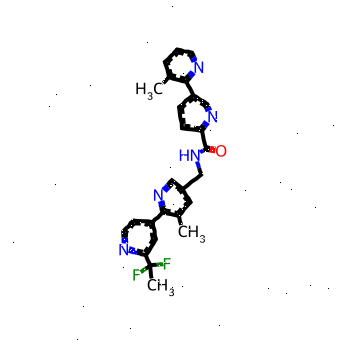 Cc1cccnc1-c1ccc(C(=O)NCc2cnc(-c3ccnc(C(C)(F)F)c3)c(C)c2)nc1